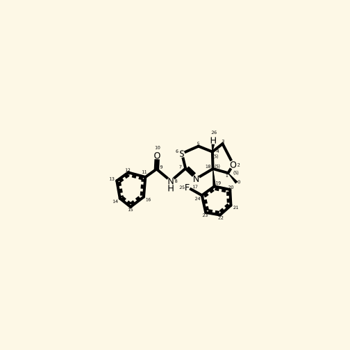 C[C@@H]1OC[C@H]2CSC(NC(=O)c3ccccc3)=N[C@]21c1ccccc1F